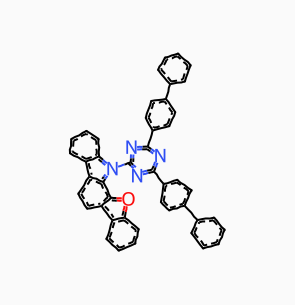 c1ccc(-c2ccc(-c3nc(-c4ccc(-c5ccccc5)cc4)nc(-n4c5ccccc5c5ccc6c7ccccc7oc6c54)n3)cc2)cc1